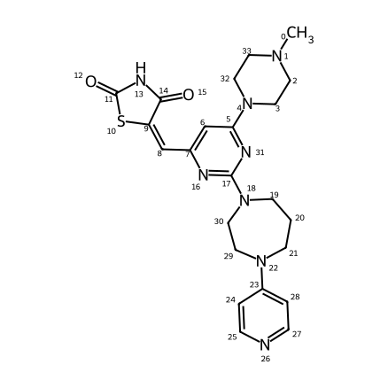 CN1CCN(c2cc(C=C3SC(=O)NC3=O)nc(N3CCCN(c4ccncc4)CC3)n2)CC1